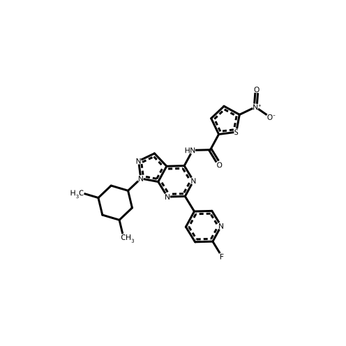 CC1CC(C)CC(n2ncc3c(NC(=O)c4ccc([N+](=O)[O-])s4)nc(-c4ccc(F)nc4)nc32)C1